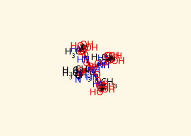 CC(=O)N[C@H]1[C@H](OCCOCCNCC(=O)CCOCC(COCCC(=O)NCCOCCO[C@@H]2O[C@H](CO)[C@H](O)[C@H](O)[C@H]2NC(C)=O)(COCCC(=O)NCCOCCO[C@@H]2O[C@H](CO)[C@H](O)[C@H](O)[C@H]2NC(C)=O)NC(=O)Cc2ccc(OP(OCCC#N)N(C(C)C)C(C)C)cc2)O[C@H](CO)[C@H](O)[C@@H]1O